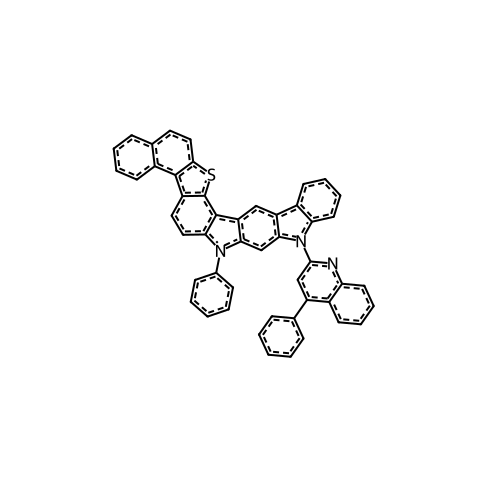 c1ccc(-c2cc(-n3c4ccccc4c4cc5c6c7sc8ccc9ccccc9c8c7ccc6n(-c6ccccc6)c5cc43)nc3ccccc23)cc1